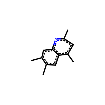 Cc1cc(C)c2cc(C)c(C)cc2n1